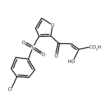 O=C(O)/C(O)=C/C(=O)c1occc1S(=O)(=O)c1ccc(Cl)cc1